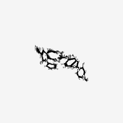 C[C@H]1CN(C)CCN1c1cc2cc(Nc3ncc4cc(C#N)c(=O)n(C5CCCC5)c4n3)ccc2s1